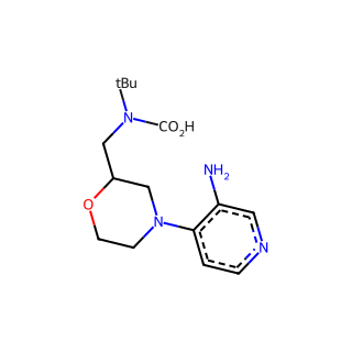 CC(C)(C)N(CC1CN(c2ccncc2N)CCO1)C(=O)O